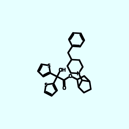 O=C(OC1CC2CCC1C2N1CCC(Cc2ccccc2)CC1)C(O)(c1cccs1)c1cccs1